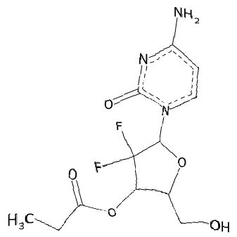 CCC(=O)OC1C(CO)OC(n2ccc(N)nc2=O)C1(F)F